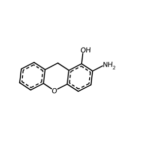 Nc1ccc2c(c1O)Cc1ccccc1O2